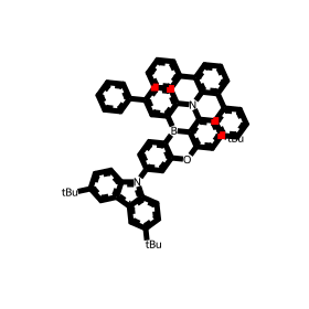 CC(C)(C)c1cc2c3c(c1)N(c1c(-c4ccccc4)cccc1-c1ccccc1)c1ccc(-c4ccccc4)cc1B3c1ccc(-n3c4ccc(C(C)(C)C)cc4c4cc(C(C)(C)C)ccc43)cc1O2